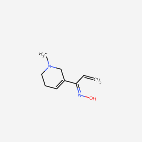 C=C/C(=N\O)C1=CCCN(C)C1